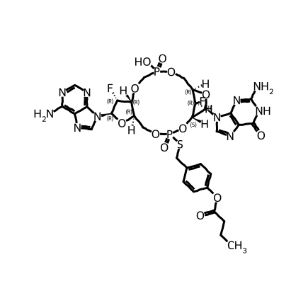 CCCC(=O)Oc1ccc(CSP2(=O)OC[C@H]3O[C@@H](n4cnc5c(N)ncnc54)[C@H](F)[C@@H]3OCP(=O)(O)OC[C@H]3O[C@@H](n4cnc5c(=O)[nH]c(N)nc54)[C@H](O2)[C@@H]3F)cc1